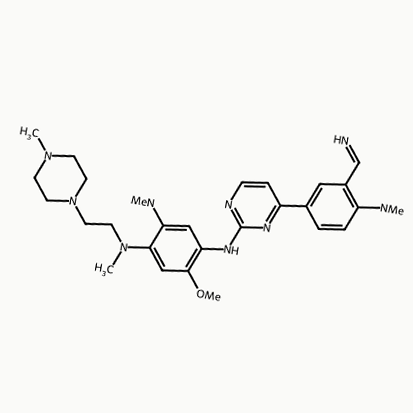 CNc1ccc(-c2ccnc(Nc3cc(NC)c(N(C)CCN4CCN(C)CC4)cc3OC)n2)cc1C=N